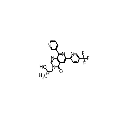 C[C@@H](O)Cn1cnc2c(-c3cccnc3)nc(-c3ccc(C(F)(F)F)cn3)cc2c1=O